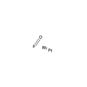 [O]=[Ir].[Pt].[Rh]